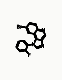 Fc1ccccc1-n1cnc2cnc3ccc(Br)cc3c21